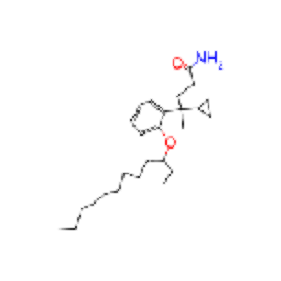 CCCCCCCCCC(CC)Oc1ccccc1C(C)(CCC(N)=O)C1CC1